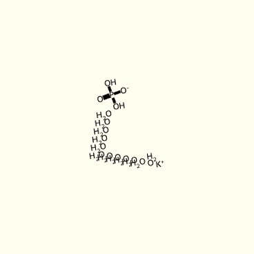 O.O.O.O.O.O.O.O.O.O.O.O.O=P([O-])(O)O.[K+]